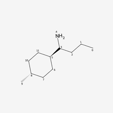 CCCC(N)[C@H]1CC[C@H](C)CC1